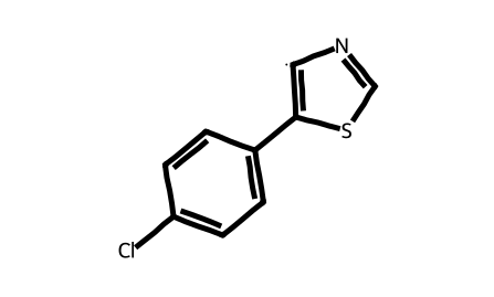 Clc1ccc(-c2[c]ncs2)cc1